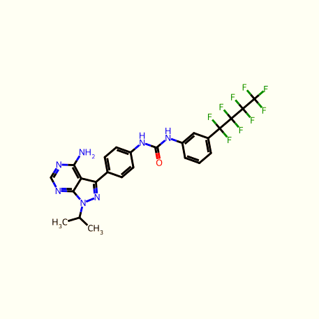 CC(C)n1nc(-c2ccc(NC(=O)Nc3cccc(C(F)(F)C(F)(F)C(F)(F)C(F)(F)F)c3)cc2)c2c(N)ncnc21